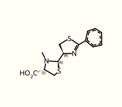 CN1[C@@H](C(=O)O)CS[C@@H]1[C@H]1CSC(c2ccccc2)=N1